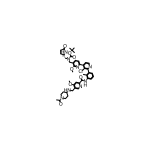 COc1cc(C(=O)Nc2cccc(-c3nccc(-c4ccc(CN(C[C@@H]5CCC(=O)N5)C(=O)OC(C)(C)C)c(OC)n4)c3Cl)c2C)ncc1CNC1CCN(C(C)=O)CC1